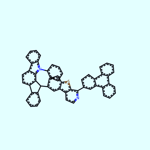 c1ccc(-n2c3ccccc3c3ccc4c(c32)C(c2ccc3sc5c(-c6ccc7c8ccccc8c8ccccc8c7c6)nccc5c3c2)c2ccccc2-4)cc1